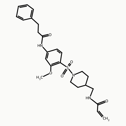 C=CC(=O)NCC1CCN(S(=O)(=O)c2ccc(NC(=O)CCc3ccccc3)cc2OC)CC1